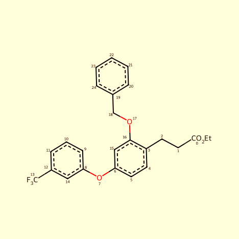 CCOC(=O)CCc1ccc(Oc2cccc(C(F)(F)F)c2)cc1OCc1ccccc1